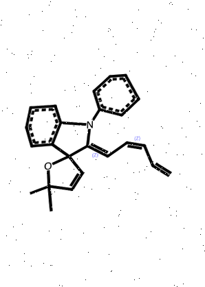 C=C/C=C\C=C1/N(c2ccccc2)c2ccccc2C12C=CC(C)(C)O2